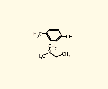 CCN(C)C.Cc1ccc(C)cc1